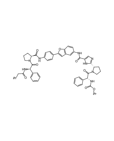 CC(C)CC(=O)N[C@@H](C(=O)N1CCC[C@H]1C(=O)Nc1ccc(-c2cc3cc(NC(=O)c4cnc([C@@H]5CCCN5C(=O)[C@H](NC(=O)OC(C)C)c5ccccc5)[nH]4)ccc3o2)cc1)c1ccccc1